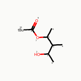 CC(O)C(C)C(C)OC(=O)C(C)(C)C